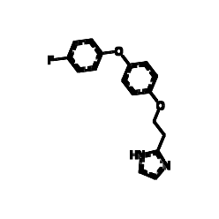 Fc1ccc(Oc2ccc(OCCc3ncc[nH]3)cc2)cc1